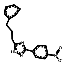 O=[N+]([O-])c1ccc(-c2n[nH]c([CH]CCc3ccccc3)n2)cc1